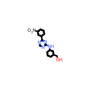 O=[N+]([O-])c1cccc(-c2ncnc(Nc3cccc(CO)c3)n2)c1